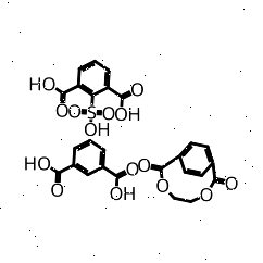 O=C(O)c1cccc(C(=O)O)c1.O=C(O)c1cccc(C(=O)O)c1S(=O)(=O)O.O=C1OCCOC(=O)c2ccc1cc2